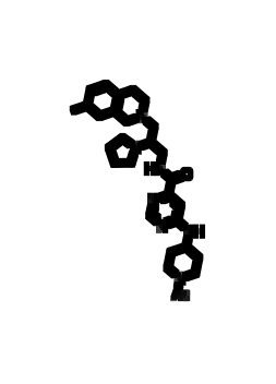 CC(=O)N1CCC(Nc2cc(C(=O)NCC(CN3CCC4=C(CC(C)C=C4)C3)N3CCCC3)ncn2)CC1